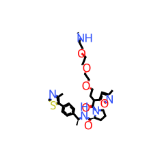 CNCCOCCOCCOCCC(C(=O)N1CCC[C@H]1C(=O)N[C@@H](C)c1ccc(-c2scnc2C)cc1)c1cc(C)no1